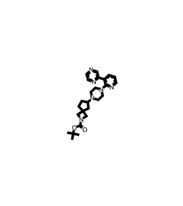 CC(C)(C)OC(=O)N1CC2(CCC(N3CCN(c4ncccc4-c4cnccn4)CC3)C2)C1